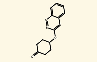 O=C1CCC(Oc2cc3ccccc3nn2)CC1